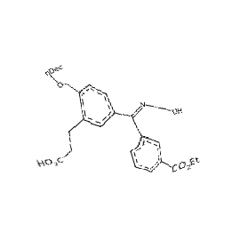 CCCCCCCCCCOc1ccc(C(=NO)c2cccc(C(=O)OCC)c2)cc1CCC(=O)O